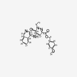 CCn1nc(C(=O)OCc2ccc(OC)cc2)cc(Nc2cncc3ccccc23)c1=O